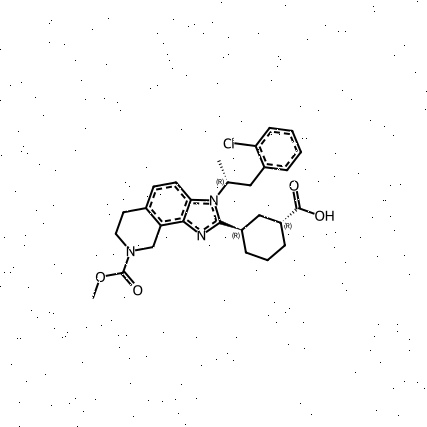 COC(=O)N1CCc2ccc3c(nc([C@@H]4CCC[C@@H](C(=O)O)C4)n3[C@H](C)Cc3ccccc3Cl)c2C1